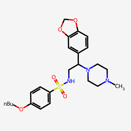 CCCCOc1ccc(S(=O)(=O)NCC(c2ccc3c(c2)OCO3)N2CCN(C)CC2)cc1